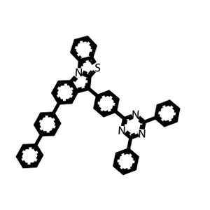 c1ccc(-c2ccc(-c3ccc4c(c3)c(-c3ccc(-c5nc(-c6ccccc6)nc(-c6ccccc6)n5)cc3)c3sc5ccccc5n34)cc2)cc1